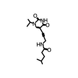 CC(C)CCC(=O)NCC#Cc1cn(C(C)C)c(=O)[nH]c1=O